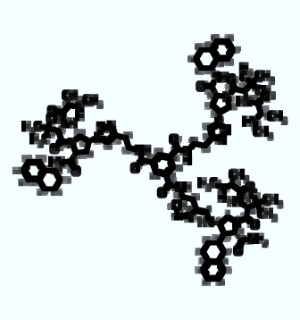 C/N=N\C(=C/N[C@@H]1CN(C(=O)[C@@H](NC(=O)[C@H](C)NC)C(C)(C)C)[C@H](C(N)=O)C1C1CCc2ccccc2C1)CCNC(=O)c1cc(C(=O)NCCc2cn([C@H]3C[C@@H](C(=O)N[C@@H]4CCCc5ccccc54)N(C(=O)[C@@H](NC(=O)[C@H](C)NC)C(C)(C)C)C3)nn2)cc(C(=O)NCCc2cn([C@H]3C[C@@H](C(=O)N[C@@H]4CCCc5ccccc54)N(C(=O)[C@@H](NC(=O)[C@H](C)NC)C(C)(C)C)C3)nn2)c1